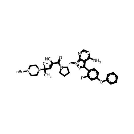 CCCCN1CCN(C(C)(C)/C=C(\C#N)C(=O)N2CCC[C@H]2Cn2nc(-c3ccc(Oc4ccccc4)cc3F)c3c(N)ncnc32)CC1